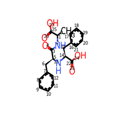 CC(NC(=O)[C@H](Cc1ccccc1)N[C@@H](Cc1ccccc1)C(=O)O)C(=O)O